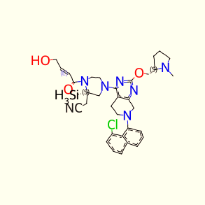 CN1CCC[C@H]1COc1nc2c(c(N3CCN(C(=O)/C=C/CO)[C@]([SiH3])(CC#N)C3)n1)CCN(c1cccc3cccc(Cl)c13)C2